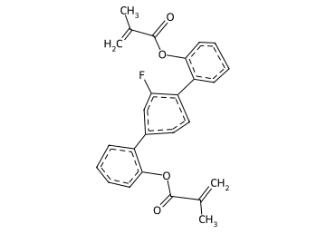 C=C(C)C(=O)Oc1ccccc1-c1ccc(-c2ccccc2OC(=O)C(=C)C)c(F)c1